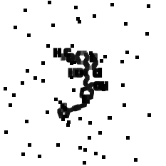 COc1ccc2ncc(Cl)c([C@H](O)CCC3(CO)CCN(CC#Cc4cccs4)CC3)c2c1